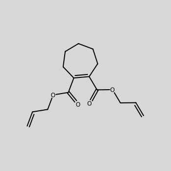 C=CCOC(=O)C1=C(C(=O)OCC=C)CCCCC1